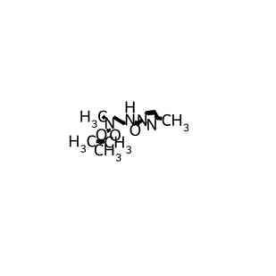 Cc1ccn(C(=O)NCCN(C)C(=O)OC(C)(C)C)n1